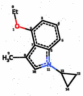 CCOc1c[c]cc2c1c(C)cn2C1CC1